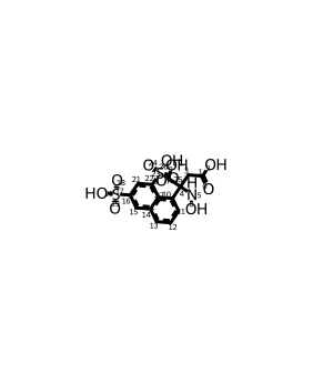 O=C(O)CC(NO)(C(=O)O)c1cccc2cc(S(=O)(=O)O)cc(S(=O)(=O)O)c12